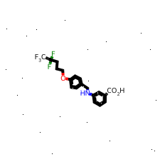 O=C(O)c1cccc(NCc2ccc(OCCCC(F)(F)C(F)(F)F)cc2)c1